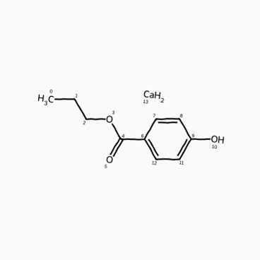 CCCOC(=O)c1ccc(O)cc1.[CaH2]